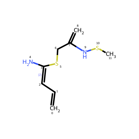 C=C/C=C(/N)SCC(=C)NSC